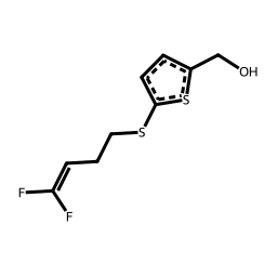 OCc1ccc(SCCC=C(F)F)s1